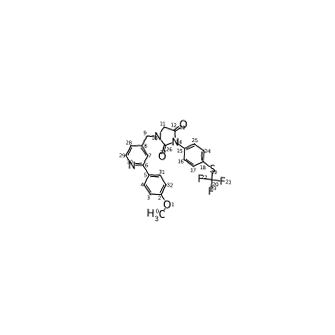 COc1ccc(-c2cc(CN3CC(=O)N(c4ccc(SC(F)(F)F)cc4)C3=O)ccn2)cc1